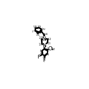 COc1cc(F)c(F)cc1N1CCN(CC2CC3C=CC2C3)CC1